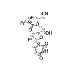 CC(C)N(C(C)C)P(OCCC#N)O[C@H]1[C@@H](F)C(n2ccc(=O)[nH]c2=O)O[C@]1(C)CO